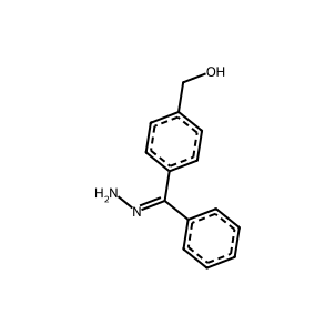 NN=C(c1ccccc1)c1ccc(CO)cc1